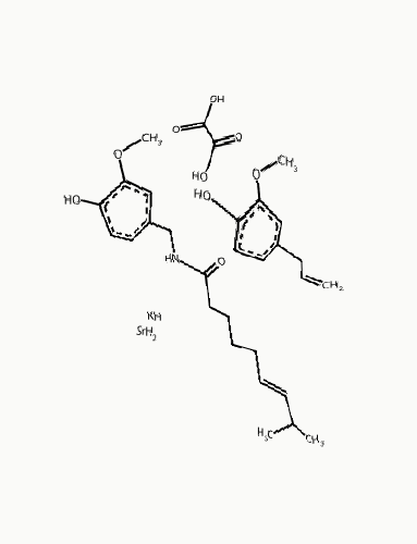 C=CCc1ccc(O)c(OC)c1.COc1cc(CNC(=O)CCCCC=CC(C)C)ccc1O.O=C(O)C(=O)O.[KH].[SrH2]